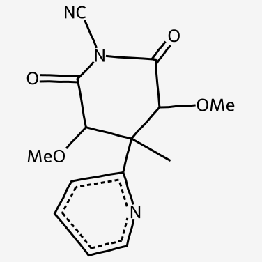 COC1C(=O)N(C#N)C(=O)C(OC)C1(C)c1ccccn1